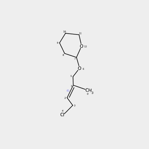 C/C(=C\CCl)COC1CCCCO1